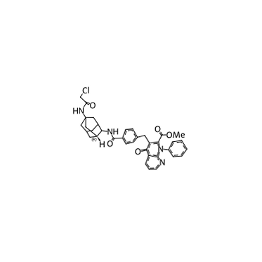 COC(=O)c1c(Cc2ccc(C(=O)NC3C4CC5C[C@@H]3CC(NC(=O)CCl)(C5)C4)cc2)c(=O)c2cccnc2n1-c1ccccc1